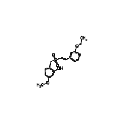 CCOc1cccc(C=CS(=O)(=O)Cc2ccc(OC)cc2O)c1